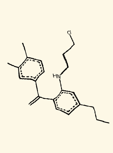 C=C(c1ccc(C)c(C)c1)c1ccc(CCC)cc1NCCCCl